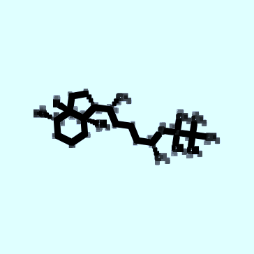 C[C@H](CCC[C@@H](C)[C@H]1CC[C@H]2[C@@H](O)CCC[C@]12C)O[Si](C)(C)C(C)(C)C